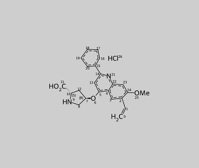 C=Cc1cc2c(O[C@H]3CN[C@H](C(=O)O)C3)cc(-c3ccccc3)nc2cc1OC.Cl